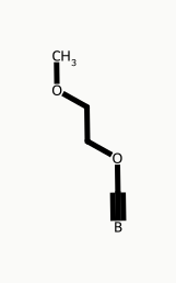 B#COCCOC